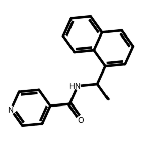 CC(NC(=O)c1ccncc1)c1cccc2ccccc12